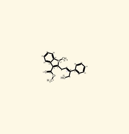 COC(=O)c1c(C/C=C(\CO)c2ccccc2)n(C)c2ccccc12